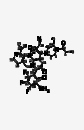 C=CC(=O)N1CCN(c2c(C#N)c(=O)n(-c3c(C)ccnc3C(C)C)c3nc(-c4c(F)c(F)c(F)c(N)c4Cl)c(Cl)cc23)C[C@H]1C